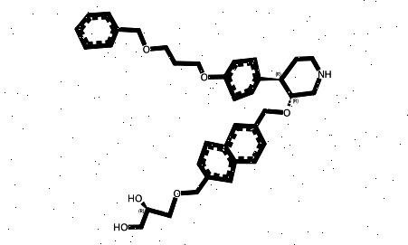 OC[C@@H](O)COCc1ccc2cc(CO[C@H]3CNCC[C@@H]3c3ccc(OCCCOCc4ccccc4)cc3)ccc2c1